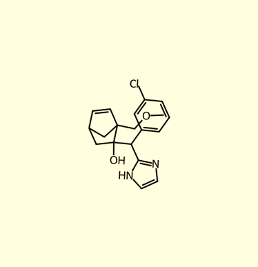 COCC12C=CC(C1)CC2(O)C(c1cccc(Cl)c1)c1ncc[nH]1